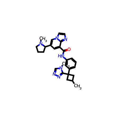 CC1CC(c2cccc(NC(=O)c3cc(C4CCCN4C)cn4ccnc34)c2)(c2nncn2C)C1